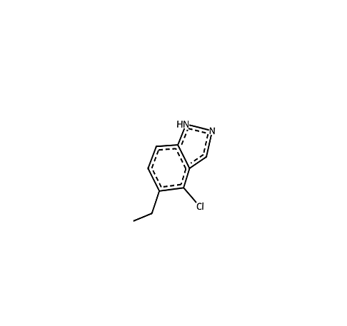 CCc1ccc2[nH]ncc2c1Cl